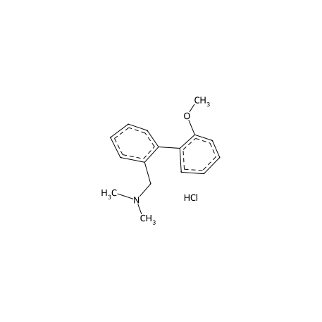 COc1ccccc1-c1ccccc1CN(C)C.Cl